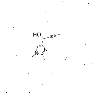 CC#CC(O)c1cn(C)c(C)n1